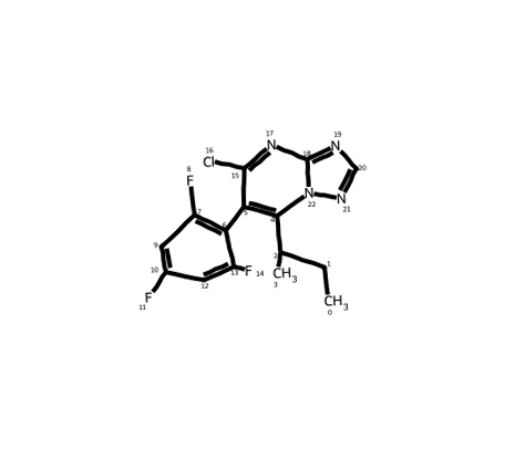 CCC(C)c1c(-c2c(F)cc(F)cc2F)c(Cl)nc2ncnn12